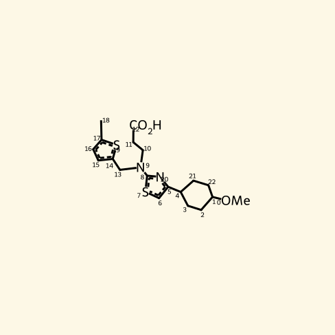 COC1CCC(c2csc(N(CCC(=O)O)Cc3ccc(C)s3)n2)CC1